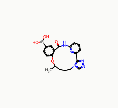 CC1CCCn2cnnc2-c2cccc(n2)NC(=O)c2cc(B(O)O)ccc2O1